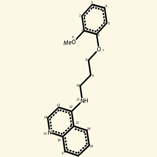 COc1ccccc1OCCCNc1ccnc2ccccc12